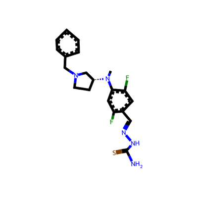 CN(c1cc(F)c(/C=N/NC(N)=S)cc1F)[C@@H]1CCN(Cc2ccccc2)C1